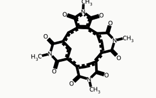 CN1C(=O)c2cc(c3cc(c4cc(c5c(=O)n(C)c(=O)c=5c2)C(=O)N(C)C4=O)C(=O)N(C)C3=O)C1=O